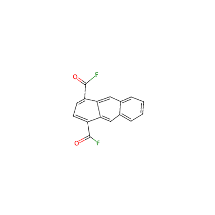 O=C(F)c1ccc(C(=O)F)c2cc3ccccc3cc12